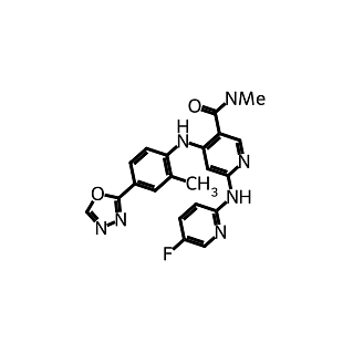 CNC(=O)c1cnc(Nc2ccc(F)cn2)cc1Nc1ccc(-c2nnco2)cc1C